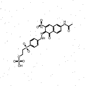 CC(=O)Nc1ccc2c(c1)C=C([SH](=O)=O)/C(=N/Nc1ccc(S(=O)(=O)CCOS(=O)(=O)O)cc1)C2=O